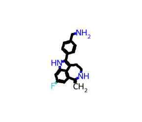 C=C1NCCc2c(-c3ccc(CN)cc3)[nH]c3cc(F)cc1c23